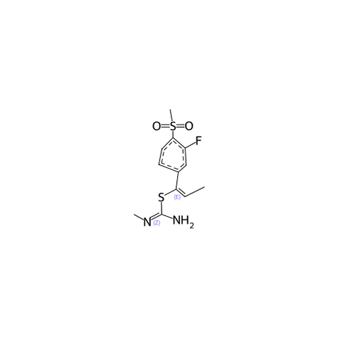 C/C=C(/S/C(N)=N\C)c1ccc(S(C)(=O)=O)c(F)c1